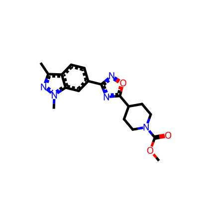 COC(=O)N1CCC(c2nc(-c3ccc4c(C)nn(C)c4c3)no2)CC1